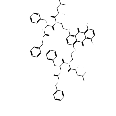 CC(C)C[C@H](N)C(=O)N(CCNc1ccc(NCCN(C(=O)[C@H](Cc2ccccc2)NC(=O)OCc2ccccc2)C(=O)[C@@H](N)CC(C)C)c2c1C(=O)c1c(O)ccc(O)c1C2=O)C(=O)[C@H](Cc1ccccc1)NC(=O)OCc1ccccc1